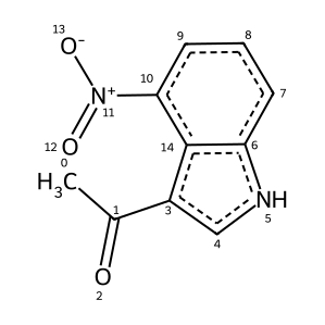 CC(=O)c1c[nH]c2cccc([N+](=O)[O-])c12